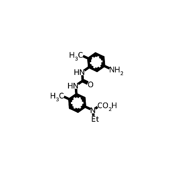 CCN(C(=O)O)c1ccc(C)c(NC(=O)Nc2cc(N)ccc2C)c1